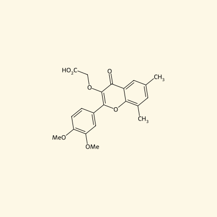 COc1ccc(-c2oc3c(C)cc(C)cc3c(=O)c2OCC(=O)O)cc1OC